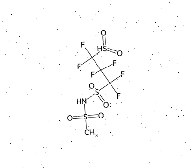 CS(=O)(=O)NS(=O)(=O)C(F)(F)C(F)(F)C(F)(F)[SH](=O)=O